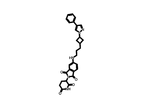 O=C1CCC(N2C(=O)c3ccc(NCCCC4CC(n5cc(-c6ccccc6)cn5)C4)cc3C2=O)C(=O)N1